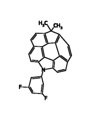 CC1(C)c2ccc3ccc4c5c3c2c2c1ccc1ccc(c5c12)n4-c1cc(F)cc(F)c1